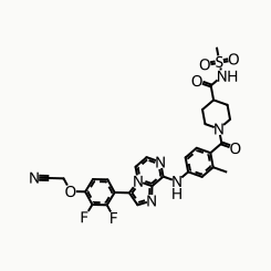 Cc1cc(Nc2nccn3c(-c4ccc(OCC#N)c(F)c4F)cnc23)ccc1C(=O)N1CCC(C(=O)NS(C)(=O)=O)CC1